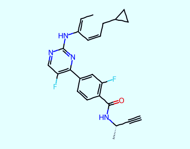 C#C[C@H](C)NC(=O)c1ccc(-c2nc(NC(/C=C\CC3CC3)=C/C)ncc2F)cc1F